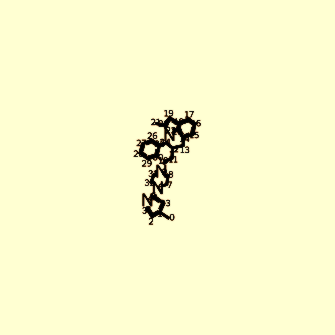 Cc1ccnc(N2CCN(CCC3Cc4cccc5cc(C)n(c45)C3c3ccccc3)CC2)c1